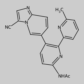 CC(=O)Nc1ccc(-c2ccc3ncc(C#N)n3c2)c(-c2cccc(C)n2)n1